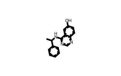 CC(Nc1ncnc2ccc(O)cc12)c1ccccc1